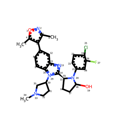 Cc1noc(C)c1-c1ccc2c(c1)nc([C@@H]1CCC(O)N1c1ccc(Cl)c(F)c1)n2C1CCN(C)C1